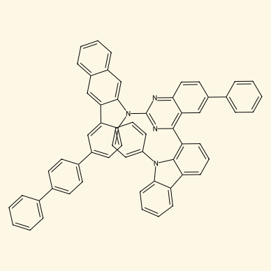 c1ccc(-c2ccc(-c3ccc4c(c3)c3cc5ccccc5cc3n4-c3nc(-c4cccc5c6ccccc6n(-c6ccccc6)c45)c4cc(-c5ccccc5)ccc4n3)cc2)cc1